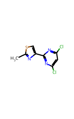 Cc1nc(-c2nc(Cl)cc(Cl)n2)cs1